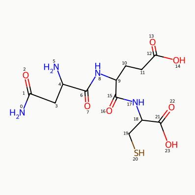 NC(=O)CC(N)C(=O)NC(CCC(=O)O)C(=O)NC(CS)C(=O)O